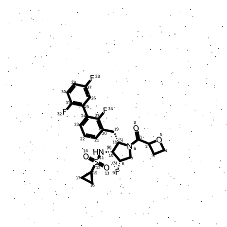 O=C(C1CCO1)N1C[C@H](F)[C@H](NS(=O)(=O)C2CC2)[C@@H]1Cc1cccc(-c2cc(F)ccc2F)c1F